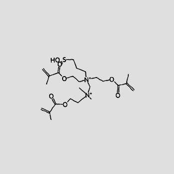 C=C(C)C(=O)OCC[N+](C)(C)C[N+](CCCS(=O)(=O)O)(CCOC(=O)C(=C)C)CCOC(=O)C(=C)C